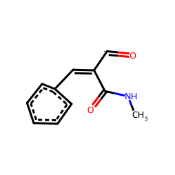 CNC(=O)C([C]=O)=Cc1ccccc1